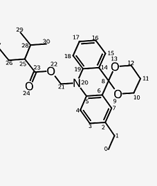 CCc1ccc2c(c1)C1(OCCCO1)c1ccccc1N2COC(=O)C(CC)C(C)C